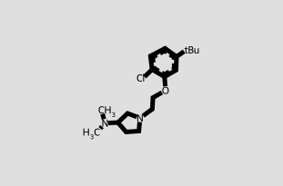 CN(C)C1CCN(CCOc2cc(C(C)(C)C)ccc2Cl)C1